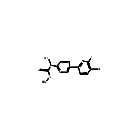 CN(C(=O)OC(C)(C)C)c1ccc(-c2ccc(Br)c(F)n2)cn1